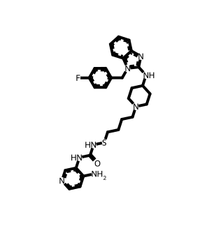 Nc1ccncc1NC(=O)NSCCCCN1CCC(Nc2nc3ccccc3n2Cc2ccc(F)cc2)CC1